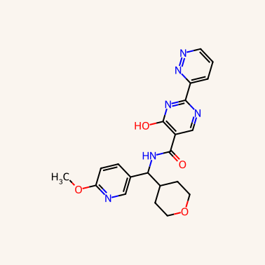 COc1ccc(C(NC(=O)c2cnc(-c3cccnn3)nc2O)C2CCOCC2)cn1